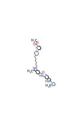 COC(=O)c1cccc(N2CCC(CCCCCCn3nc(C)c4ccc(C(=O)Nc5cc6[nH]c([C@H]7CCCN7C)cc6cn5)cc43)CC2)n1